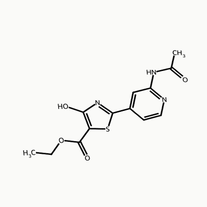 CCOC(=O)c1sc(-c2ccnc(NC(C)=O)c2)nc1O